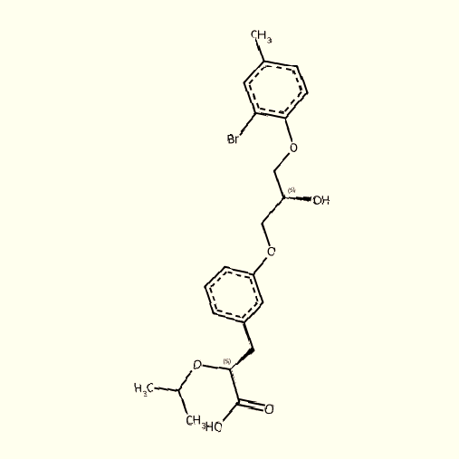 Cc1ccc(OC[C@@H](O)COc2cccc(C[C@H](OC(C)C)C(=O)O)c2)c(Br)c1